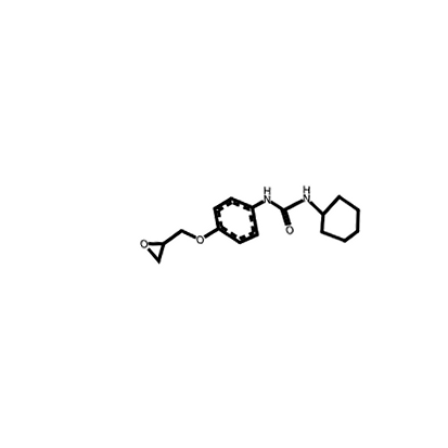 O=C(Nc1ccc(OCC2CO2)cc1)NC1CCCCC1